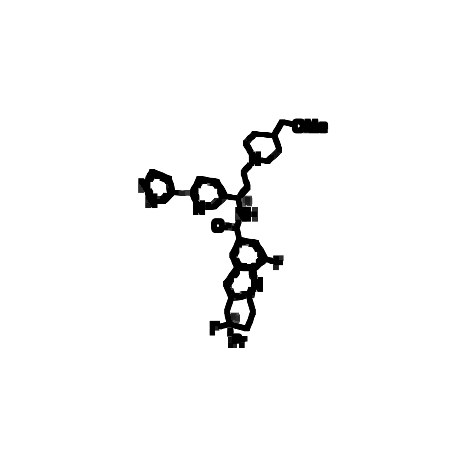 COCC1CCN(CC[C@@H](NC(=O)c2cc(F)c3nc4c(cc3c2)C[C@](F)(C(C)C)CC4)c2ccc(-c3ccnnc3)nc2)CC1